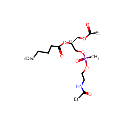 CCCCCCCCCCCCCC(=O)O[C@H](COC(=O)CC)COP(C)(=O)OCCNC(=O)CC